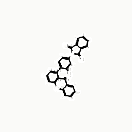 O=C1c2ccccc2C(=O)N1c1ccc2c(c1)nc1c3c(cccc32)Oc2ccccc2-1